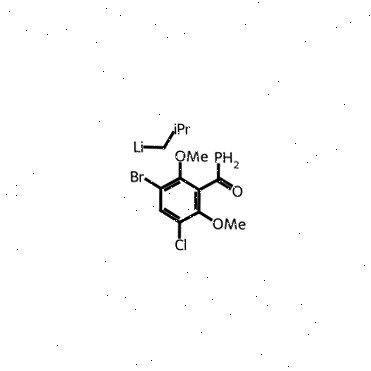 COc1c(Cl)cc(Br)c(OC)c1C(=O)P.[Li][CH2]C(C)C